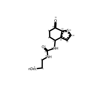 CCCCCCCCCCCCNC(=O)NC1CCC(=O)c2sccc21